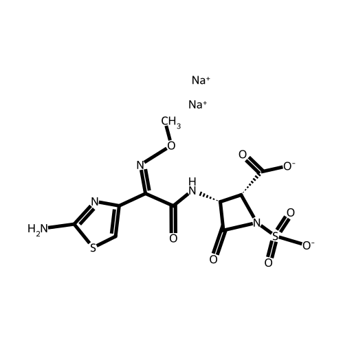 CON=C(C(=O)N[C@H]1C(=O)N(S(=O)(=O)[O-])[C@H]1C(=O)[O-])c1csc(N)n1.[Na+].[Na+]